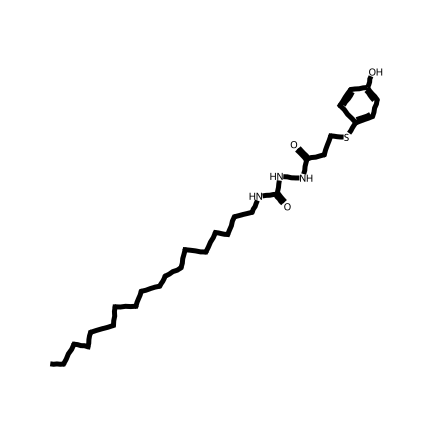 CCCCCCCCCCCCCCCCCCNC(=O)NNC(=O)CCSc1ccc(O)cc1